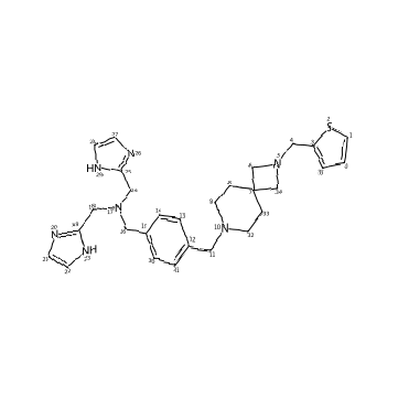 c1csc(CN2CC3(CCN(Cc4ccc(CN(Cc5ncc[nH]5)Cc5ncc[nH]5)cc4)CC3)C2)c1